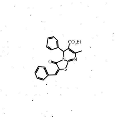 CCOC(=O)C1=C(C)N=c2sc(=Cc3ccccc3)c(=O)n2C1c1ccccc1